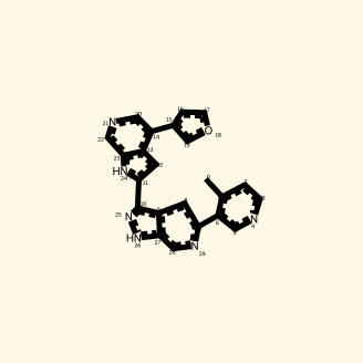 Cc1ccncc1-c1cc2c(-c3cc4c(-c5ccoc5)cncc4[nH]3)n[nH]c2cn1